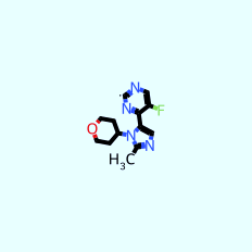 Cc1ncc(-c2n[c]ncc2F)n1C1CCOCC1